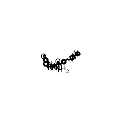 COc1ccc2c(c1)CCc1cnc(-n3cc(C(=O)Nc4ccc(CCN5CCN(c6ccccn6)CC5)cc4)c(N)n3)nc1-2